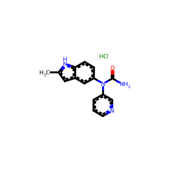 Cc1cc2cc(N(C(N)=O)c3cccnc3)ccc2[nH]1.Cl